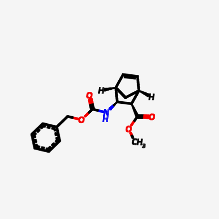 COC(=O)[C@H]1[C@@H](NC(=O)OCc2ccccc2)[C@@H]2C=C[C@H]1C2